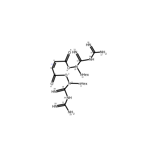 CCCCCCN(OC(=O)/C=C\C(=O)ON(CCCCCC)C(=N)NC(=N)N)C(=N)NC(=N)N